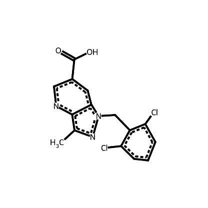 Cc1nn(Cc2c(Cl)cccc2Cl)c2cc(C(=O)O)cnc12